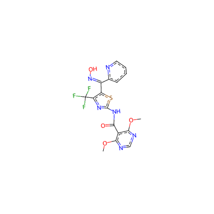 COc1ncnc(OC)c1C(=O)Nc1nc(C(F)(F)F)c(C(=NO)c2ccccn2)s1